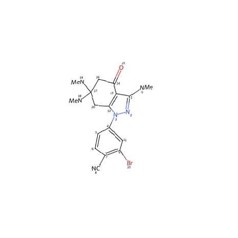 CNc1nn(-c2ccc(C#N)c(Br)c2)c2c1C(=O)CC(NC)(NC)C2